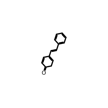 O=C1C=CC(C=Cc2ccccc2)=CC1